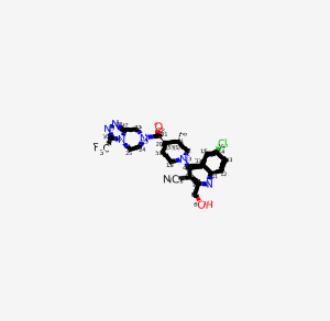 C[C@@H]1CN(c2c(C#N)c(CO)nc3ccc(Cl)cc23)CC[C@@H]1C(=O)N1CCn2c(nnc2C(F)(F)F)C1